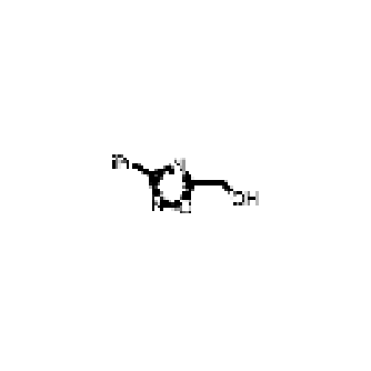 CC(C)c1noc(CO)n1